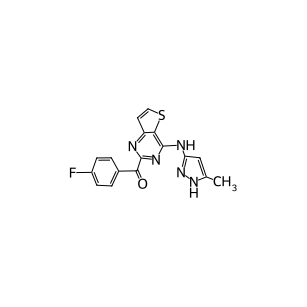 Cc1cc(Nc2nc(C(=O)c3ccc(F)cc3)nc3ccsc23)n[nH]1